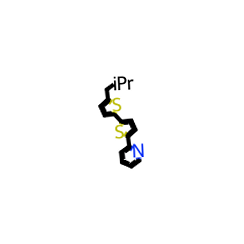 CC(C)Cc1ccc(-c2ccc(-c3ccccn3)s2)s1